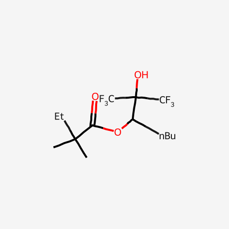 CCCCC(OC(=O)C(C)(C)CC)C(O)(C(F)(F)F)C(F)(F)F